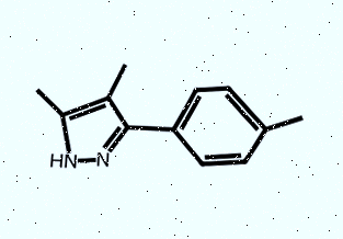 Cc1ccc(-c2n[nH]c(C)c2C)cc1